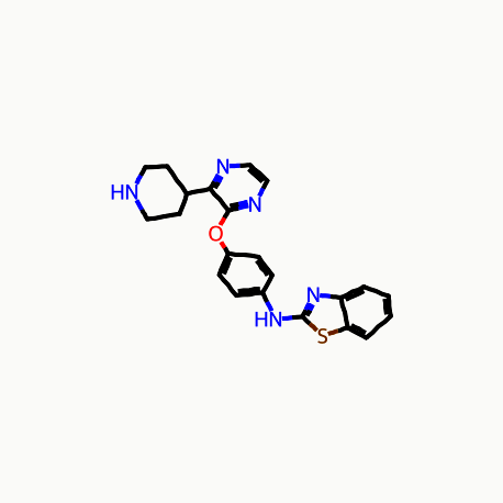 c1ccc2sc(Nc3ccc(Oc4nccnc4C4CCNCC4)cc3)nc2c1